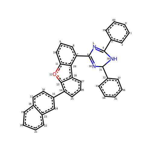 c1ccc(C2=NC(c3cccc4oc5c(-c6ccc7ccccc7c6)cccc5c34)=NC(c3ccccc3)N2)cc1